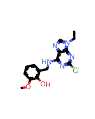 CCn1cnc2c(NCc3cccc(OC)c3O)nc(Cl)nc21